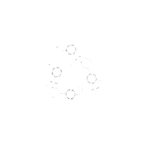 CC1(S(=O)(=O)c2cccc(OC(F)(F)F)c2)CCOC(c2ccc(S(C)(=O)=O)c(F)c2)C1.CCC1(S(=O)(=O)c2cccc(C(F)(F)F)c2)CCOC(c2ccc3c(c2)CCO3)C1